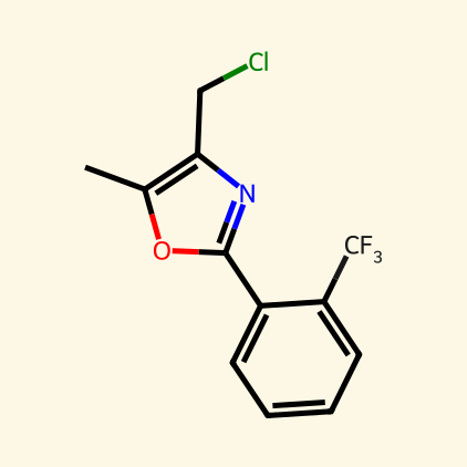 Cc1oc(-c2ccccc2C(F)(F)F)nc1CCl